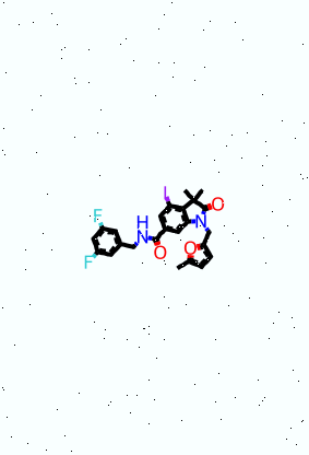 Cc1ccc(CN2C(=O)C(C)(C)c3c(I)cc(C(=O)NCc4cc(F)cc(F)c4)cc32)o1